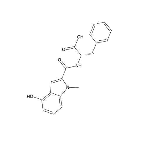 Cn1c(C(=O)N[C@@H]([CH]c2ccccc2)C(=O)O)cc2c(O)cccc21